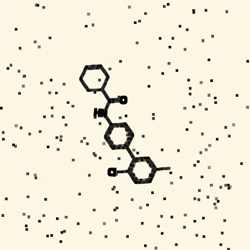 Cc1ccc(Cl)c(-c2ccc(NC(=O)C3CC=CCC3)cc2)c1